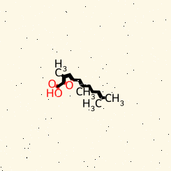 CC(C)=CCC/C(C)=C/c1cc(C)c(C(=O)O)o1